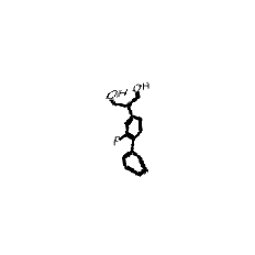 OCC(CO)c1ccc(-c2ccccc2)c(F)c1